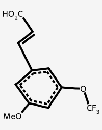 COc1cc(C=CC(=O)O)cc(OC(F)(F)F)c1